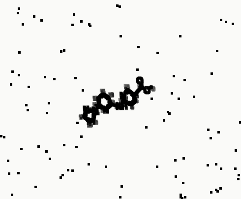 COC(=O)c1ccc(Nc2cccc(-n3cccn3)n2)nc1